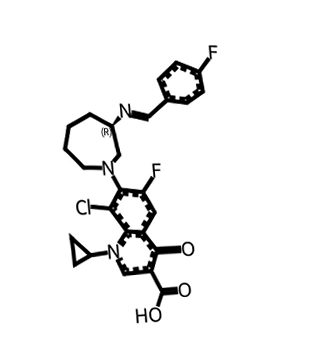 O=C(O)c1cn(C2CC2)c2c(Cl)c(N3CCCC[C@@H](N=Cc4ccc(F)cc4)C3)c(F)cc2c1=O